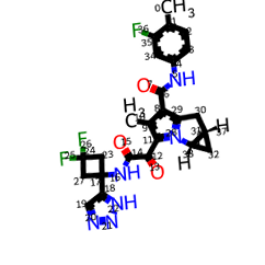 Cc1ccc(NC(=O)c2c(C)c(C(=O)C(=O)NC3(c4cnn[nH]4)CC(F)(F)C3)n3c2C[C@@H]2C[C@@H]23)cc1F